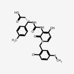 CSc1ccc(Cl)c(Cn2ccc(O)c(NC(=O)N[C@@H](CC(=O)O)c3ccc(C)cc3)c2=O)c1